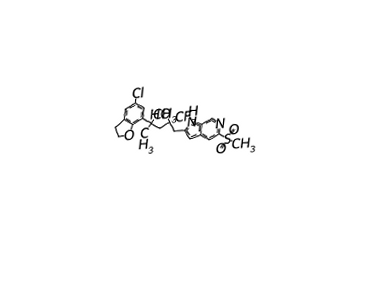 CC(C)(C[C@@](O)(Cc1cc2cc(S(C)(=O)=O)ncc2[nH]1)C(F)(F)F)c1cc(Cl)cc2c1OCC2